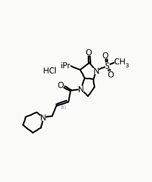 CC(C)C1C(=O)N(S(C)(=O)=O)C2CCN(C(=O)/C=C/CN3CCCCC3)C12.Cl